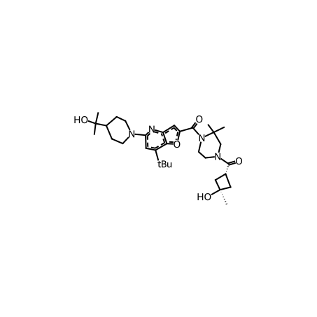 CC(C)(C)c1cc(N2CCC(C(C)(C)O)CC2)nc2cc(C(=O)N3CCN(C(=O)[C@H]4C[C@](C)(O)C4)CC3(C)C)oc12